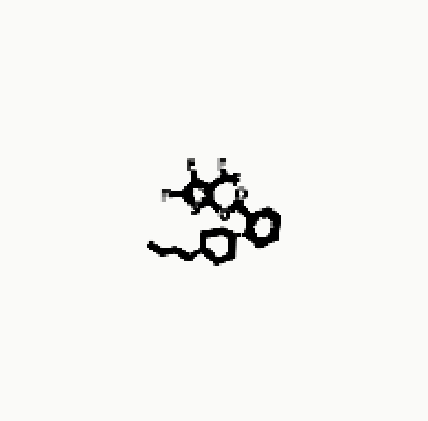 CCCC[C@H]1CC[C@H](c2ccccc2C(=O)Oc2sc(F)c(F)c2C(F)F)CC1